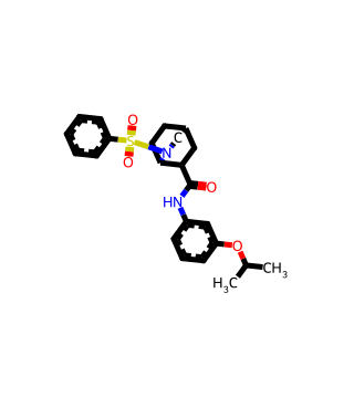 CC(C)Oc1cccc(NC(=O)C2CC3CCC2N(S(=O)(=O)c2ccccc2)C3)c1